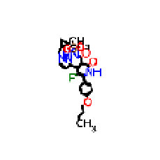 CCCCOc1ccc(-c2[nH]c(=O)c(C(=O)NS(C)(=O)=O)c(-c3ccn(CC4CC4)n3)c2F)cc1